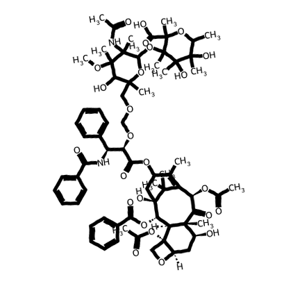 COC1(C)C(O)C(C)(COCO[C@@H](C(=O)OC2C[C@@]3(O)[C@@H](OC(=O)c4ccccc4)[C@@H]4[C@]5(OC(C)=O)CO[C@@H]5C[C@H](O)[C@@]4(C)C(=O)[C@H](OC(C)=O)C(=C2C)C3(C)C)[C@@H](NC(=O)c2ccccc2)c2ccccc2)OC(OC2(C)C(C)(C(=O)O)OC(C)C(C)(O)C2(C)O)C1(C)NC(C)=O